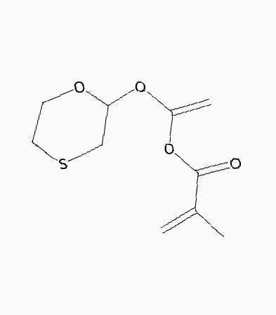 C=C(OC(=O)C(=C)C)OC1CSCCO1